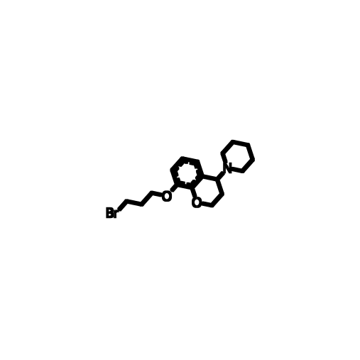 BrCCCOc1cccc2c1OCCC2N1CCCCC1